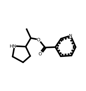 CC(OC(=O)c1cccnc1)C1CCCN1